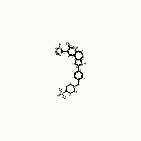 CS(=O)(=O)C1CCN(Cc2ccc(-c3cc4c(ncc5[nH]c(=O)c(-c6nnn[nH]6)cc54)[nH]3)cc2)CC1